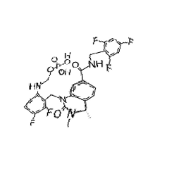 C[C@H]1c2ccc(C(=O)NCc3c(F)cc(F)cc3F)cc2N(Cc2c(NCOP(=O)(O)O)ccc(F)c2F)C(=O)N1C